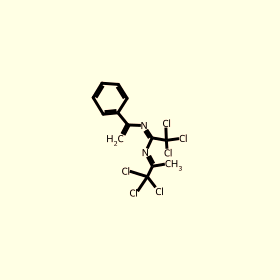 C=C(/N=C(\N=C(/C)C(Cl)(Cl)Cl)C(Cl)(Cl)Cl)c1ccccc1